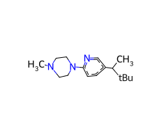 CC(c1ccc(N2CCN(C)CC2)nc1)C(C)(C)C